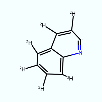 [2H]c1[c]nc2c([2H])c([2H])c([2H])c([2H])c2c1[2H]